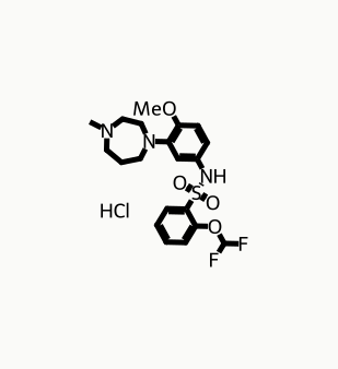 COc1ccc(NS(=O)(=O)c2ccccc2OC(F)F)cc1N1CCCN(C)CC1.Cl